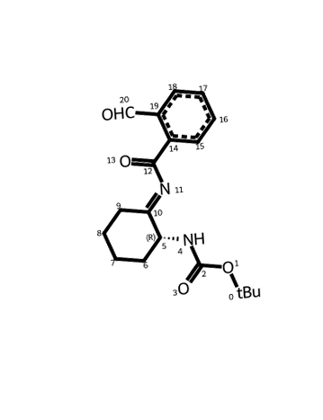 CC(C)(C)OC(=O)N[C@@H]1CCCCC1=NC(=O)c1ccccc1C=O